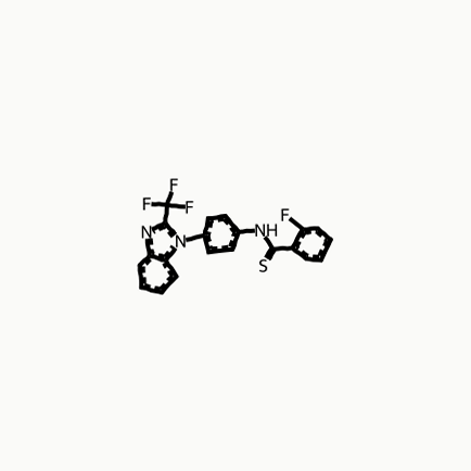 Fc1ccccc1C(=S)Nc1ccc(-n2c(C(F)(F)F)nc3ccccc32)cc1